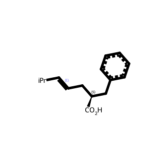 CC(C)/C=C/C[C@@H](Cc1ccccc1)C(=O)O